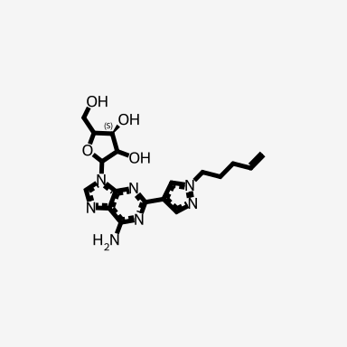 C=CCCCn1cc(-c2nc(N)c3ncn(C4OC(CO)[C@@H](O)C4O)c3n2)cn1